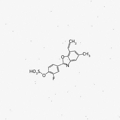 C=Cc1cc(C)cc2nc(-c3ccc(OS(=O)(=O)O)c(F)c3)oc12